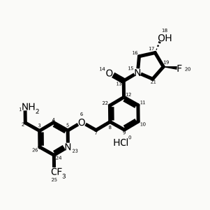 Cl.NCc1cc(OCc2cccc(C(=O)N3C[C@H](O)[C@@H](F)C3)c2)nc(C(F)(F)F)c1